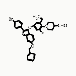 C=Cc1cc(Oc2c(-c3ccc(Br)cc3)sc3cc(OCc4ccccc4)ccc23)cc(F)c1N1CCC(C=O)CC1